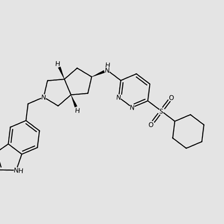 O=S(=O)(c1ccc(N[C@H]2C[C@@H]3CN(Cc4ccc5[nH]ccc5c4)C[C@@H]3C2)nn1)C1CCCCC1